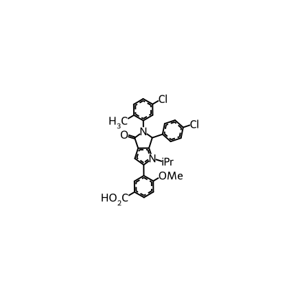 COc1ccc(C(=O)O)cc1-c1cc2c(n1C(C)C)C(c1ccc(Cl)cc1)N(c1cc(Cl)ccc1C)C2=O